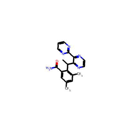 CC(c1nccnc1-c1ncccn1)c1c(C(N)=O)cc(C(F)(F)F)cc1C(F)(F)F